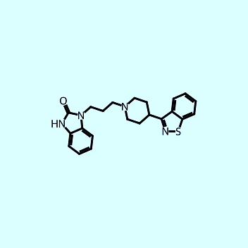 O=c1[nH]c2ccccc2n1CCCN1CCC(c2nsc3ccccc23)CC1